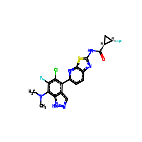 CN(C)c1c(F)c(Cl)c(-c2ccc3nc(NC(=O)[C@@H]4C[C@@H]4F)sc3n2)c2cn[nH]c12